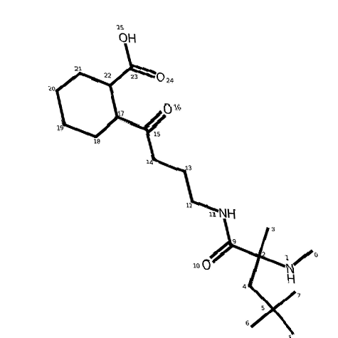 CNC(C)(CC(C)(C)C)C(=O)NCCCC(=O)C1CCCCC1C(=O)O